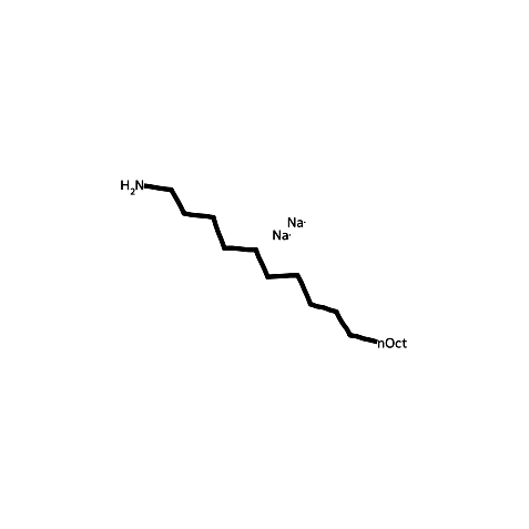 CCCCCCCCCCCCCCCCCCN.[Na].[Na]